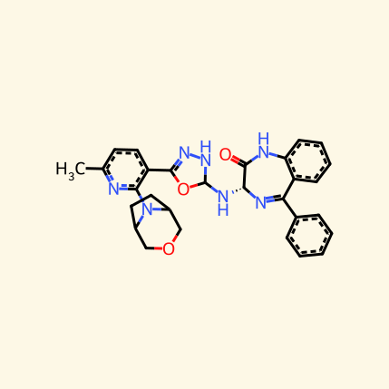 Cc1ccc(C2=NNC(N[C@H]3N=C(c4ccccc4)c4ccccc4NC3=O)O2)c(N2C3CCC2COC3)n1